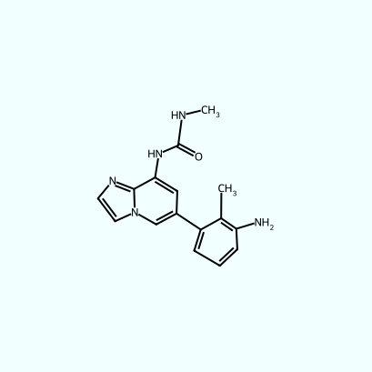 CNC(=O)Nc1cc(-c2cccc(N)c2C)cn2ccnc12